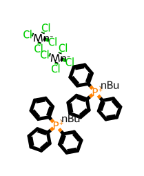 CCCC[P+](c1ccccc1)(c1ccccc1)c1ccccc1.CCCC[P+](c1ccccc1)(c1ccccc1)c1ccccc1.[Cl][Mn-]([Cl])([Cl])[Cl].[Cl][Mn-]([Cl])([Cl])[Cl]